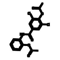 CC(=O)Oc1ccccc1NC(=O)c1cc(Cl)c(OC(C)=O)c(Cl)c1